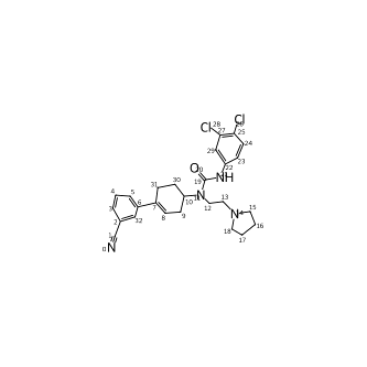 N#Cc1cccc(C2=CCC(N(CCN3CCCC3)C(=O)Nc3ccc(Cl)c(Cl)c3)CC2)c1